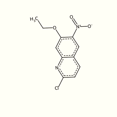 CCOc1cc2nc(Cl)ccc2cc1[N+](=O)[O-]